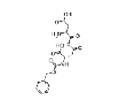 N[C@@H](CC(=O)O)C(=O)OC(=O)C[C@H](NC(=O)OCc1ccccc1)C(=O)O